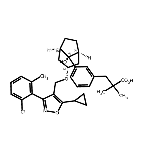 Cc1cccc(Cl)c1-c1noc(C2CC2)c1CO[C@@H]1C[C@H]2CC[C@@H](C1)[C@]2(O)c1cccc(CC(C)(C)C(=O)O)c1